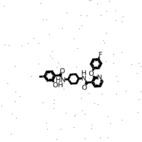 Cc1ccc(C(=O)NC2CCC(NC(=O)c3cccnc3Oc3ccc(F)cc3)CC2)c(O)c1